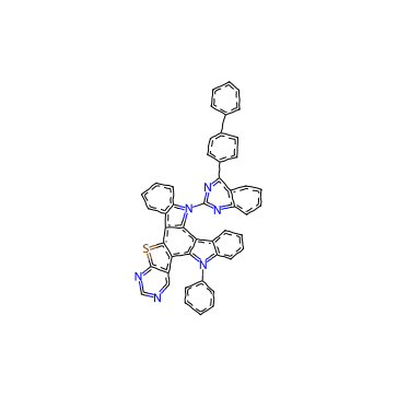 c1ccc(-c2ccc(-c3nc(-n4c5ccccc5c5c6sc7ncncc7c6c6c(c7ccccc7n6-c6ccccc6)c54)nc4ccccc34)cc2)cc1